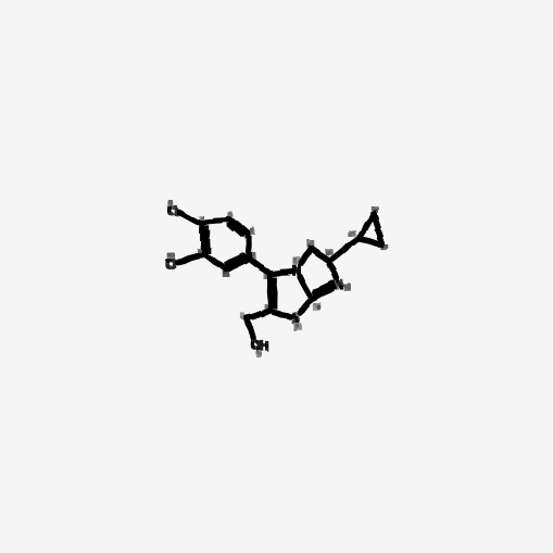 OCC1=C(c2ccc(Cl)c(Cl)c2)N2CC(C3CC3)N=C2S1